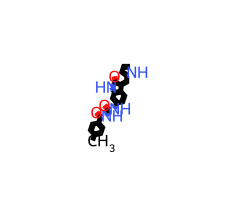 Cc1ccc(C(=O)NC(=O)Nc2ccc3c(c2)NC(=O)C3=Cc2ccc[nH]2)cc1